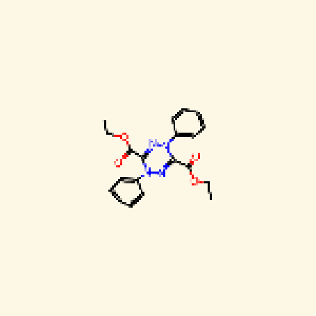 CCOC(=O)C1=NN(c2ccccc2)C(C(=O)OCC)=NN1c1ccccc1